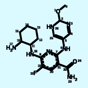 COC1N=CC(Nc2nc(N[C@@H]3CCCCC3N)c(F)cc2C(N)=O)=CN1